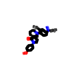 O=C(O)Nc1ccc(N2CCC[C@@]3(CCN([C@H]4CC[C@H](O)CC4)C3=O)C2)c(C(F)(F)F)c1